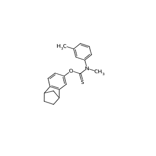 Cc1cccc(N(C)C(=S)Oc2ccc3c(c2)C2CCC3C2)c1